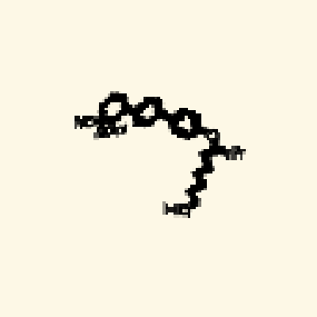 CCCCCCCCC1(C#N)CCCC(c2ccc(-c3ccc(OC(CCC)CCCCCCO)cc3)cc2)C1